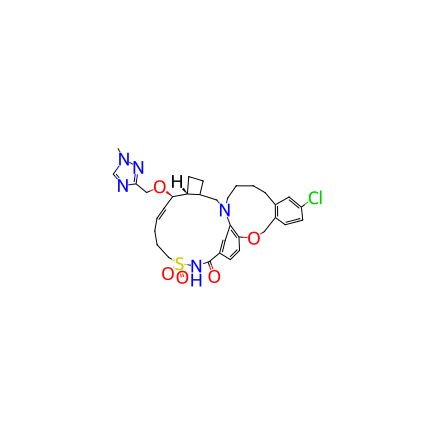 Cn1cnc(CO[C@@H]2/C=C/CCCS(=O)(=O)NC(=O)c3ccc4c(c3)N(CCCCc3cc(Cl)ccc3CO4)CC3CC[C@H]32)n1